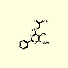 CNc1nc(-c2ccccc2)nc(NCC(N)=O)c1C#N